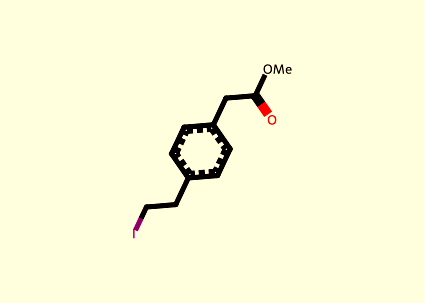 COC(=O)Cc1ccc(CCI)cc1